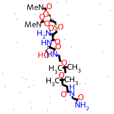 CNC(=O)OC[C@H](CS(=O)(=O)C[C@H](N)C(=O)N[C@@H](CO)C(=O)NCCOC(C)(C)COC(C)(C)CCC(=O)NCC(N)=O)OC(=O)NC